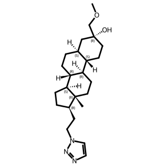 COC[C@@]1(O)CC[C@H]2[C@@H](CC[C@@H]3[C@@H]2CC[C@]2(C)[C@@H](CCn4ccnn4)CC[C@@H]32)C1